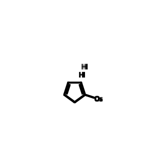 I.I.[Os][C]1=CC=CC1